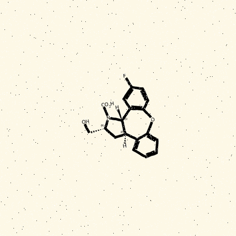 O=C(O)N1[C@@H](CO)C[C@@H]2c3ccccc3Oc3ccc(F)cc3[C@H]21